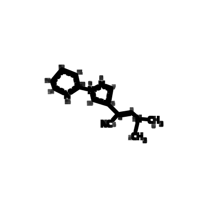 CN(C)/C=C(\C#N)c1cnn(-c2ccccn2)c1